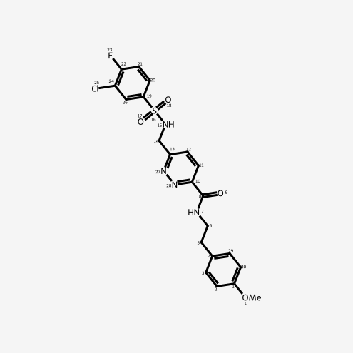 COc1ccc(CCNC(=O)c2ccc(CNS(=O)(=O)c3ccc(F)c(Cl)c3)nn2)cc1